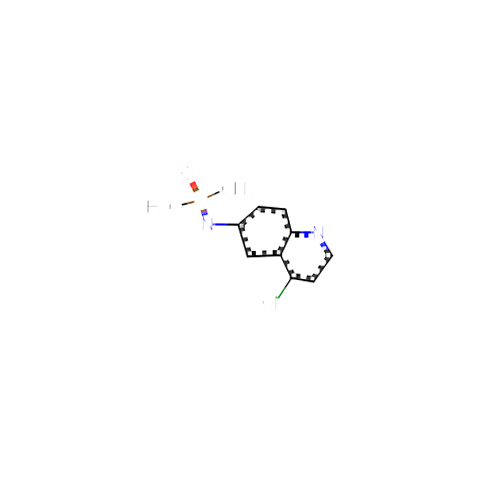 CS(C)(=O)=Nc1ccc2nccc(Cl)c2c1